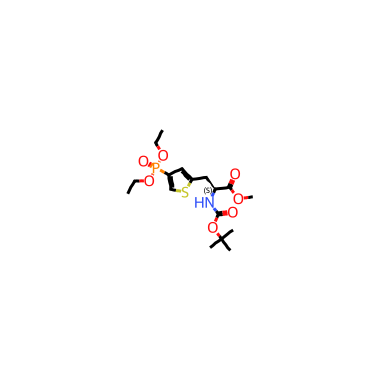 CCOP(=O)(OCC)c1csc(C[C@H](NC(=O)OC(C)(C)C)C(=O)OC)c1